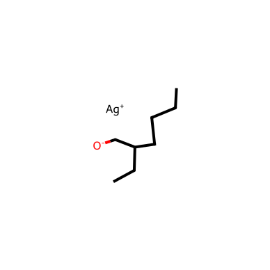 CCCCC(CC)C[O-].[Ag+]